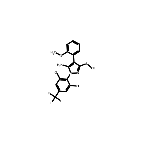 CSc1ccccc1-c1c(SC)nn(-c2c(Cl)cc(C(F)(F)F)cc2Cl)c1N